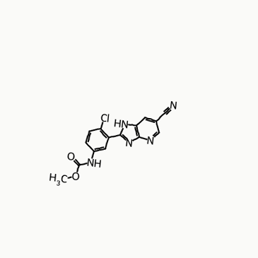 COC(=O)Nc1ccc(Cl)c(-c2nc3ncc(C#N)cc3[nH]2)c1